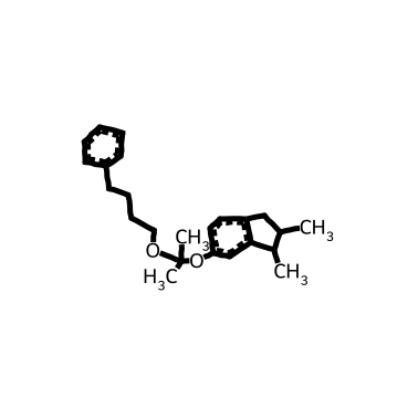 CC1Cc2ccc(OC(C)(C)OCCCCc3ccccc3)cc2C1C